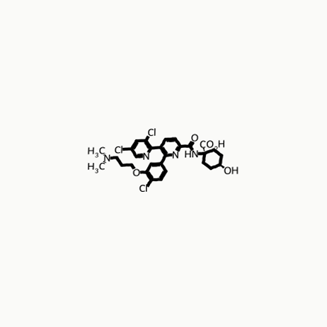 CN(C)CCCOc1cc(-c2nc(C(=O)N[C@]3(C(=O)O)CC[C@H](O)CC3)ccc2-c2ncc(Cl)cc2Cl)ccc1Cl